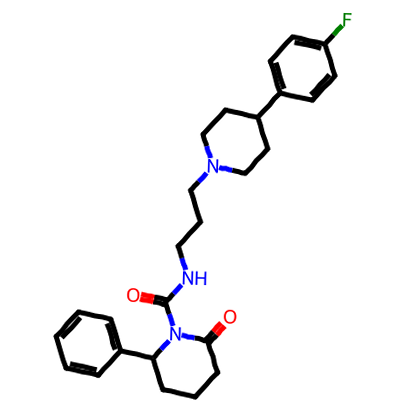 O=C1CCCC(c2ccccc2)N1C(=O)NCCCN1CCC(c2ccc(F)cc2)CC1